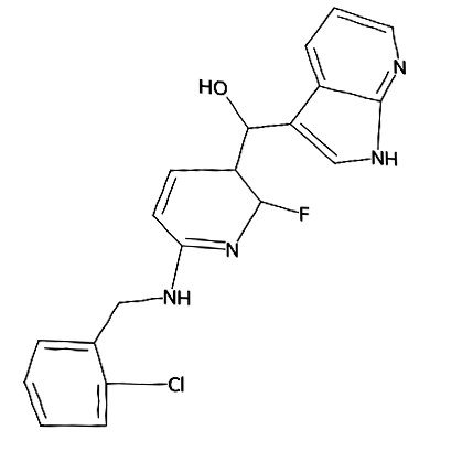 OC(c1c[nH]c2ncccc12)C1C=CC(NCc2ccccc2Cl)=NC1F